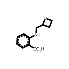 O=C(O)c1ccccc1NCC1CCO1